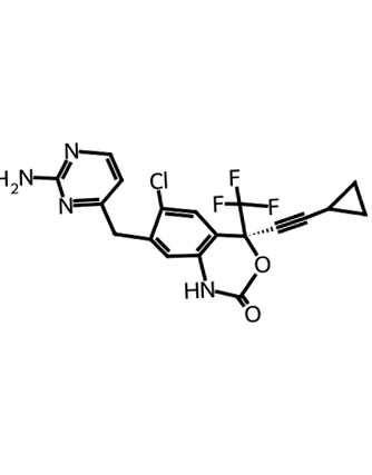 Nc1nccc(Cc2cc3c(cc2Cl)[C@@](C#CC2CC2)(C(F)(F)F)OC(=O)N3)n1